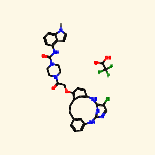 Cn1ccc2c(NC(=O)N3CCN(C(=O)COc4ccc5cc4CCc4cccc(c4)Nc4ncc(Cl)c(n4)N5)CC3)cccc21.O=C(O)C(F)(F)F